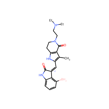 Bc1cccc2c1/C(=C/c1[nH]c3c(c1C)C(=O)N(CCN(CC)CC)CC3)C(=O)N2